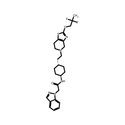 CC(F)(F)COc1nc2c(s1)CCN(CC[C@H]1CC[C@H](NC(=O)Cn3ncc4ccccc43)CC1)C2